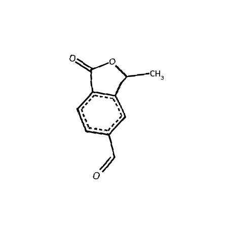 CC1OC(=O)c2ccc(C=O)cc21